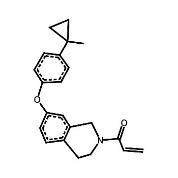 C=CC(=O)N1CCc2ccc(Oc3ccc(C4(C)CC4)cc3)cc2C1